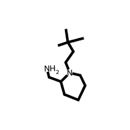 CC(C)(C)CCN1CCCCC1CN